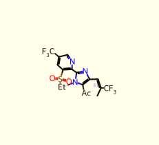 CCS(=O)(=O)c1cc(C(F)(F)F)cnc1-c1nc(/C=C(\C)C(F)(F)F)c(C(C)=O)n1C